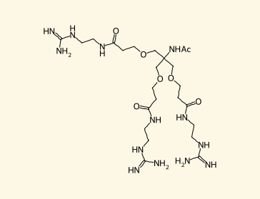 CC(=O)NC(COCCC(=O)NCCNC(=N)N)(COCCC(=O)NCCNC(=N)N)COCCC(=O)NCCNC(=N)N